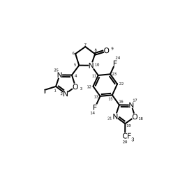 Cc1noc(C2CCC(=O)N2c2cc(F)c(-c3noc(C(F)(F)F)n3)cc2F)n1